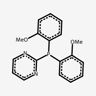 COc1ccccc1P(c1ncccn1)c1ccccc1OC